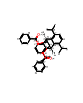 CC(C)c1cccc2c1[C@H]1c3c(C(C)C)ccc(C(C)C)c3[C@H]2C(OC(=O)c2ccccc2)C1OC(=O)c1ccccc1